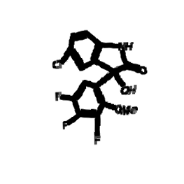 COc1c(C2(O)C(=O)Nc3ccc(Cl)cc32)cc(F)c(F)c1F